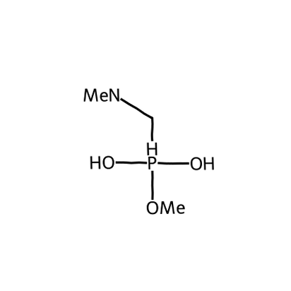 CNC[PH](O)(O)OC